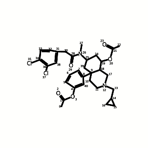 CC(=O)Oc1cccc(C23CCN(CC4CC4)CC2C(OC(C)=O)CC(N(C)C(=O)Cc2ccc(Cl)c(Cl)c2)C3)c1